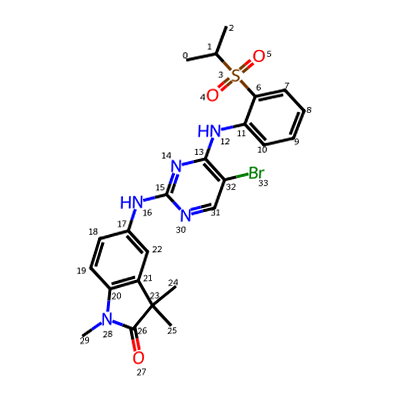 CC(C)S(=O)(=O)c1ccccc1Nc1nc(Nc2ccc3c(c2)C(C)(C)C(=O)N3C)ncc1Br